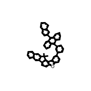 CC1(C)c2cc3ccccc3cc2-c2ccc3oc4ccc(-c5cccc(-c6c7ccccc7c(-c7ccc8ccccc8c7)c7ccccc67)c5)cc4c3c21